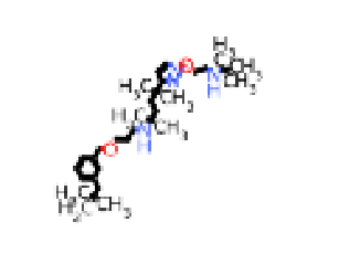 CC(C)(C)Cc1cccc(COCCCNC(C)(C)CCC(C)(C)c2ccn(OCCNC(C)(C)C)n2)c1